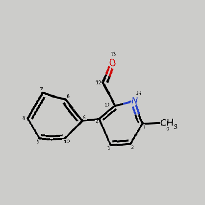 Cc1ccc(-c2ccccc2)c(C=O)n1